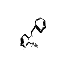 COc1ncccc1OCc1cccnc1